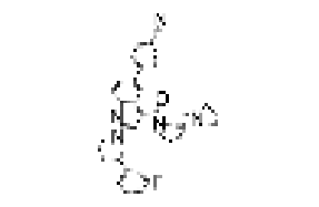 N#Cc1ccc(-c2ccc3nc(N4CCCC(c5cccc(F)c5)C4)cc(C(=O)N4CCC[C@H]4CN4CCCC4)c3c2)cc1